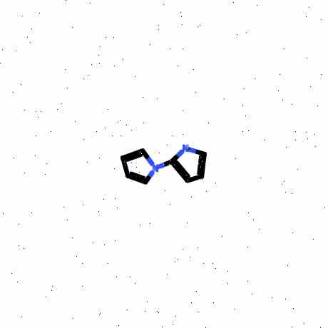 C1=C[N]C(n2cccc2)=C1